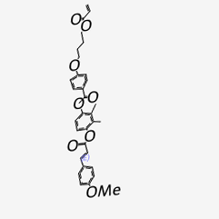 C=CC(=O)OCCCCOc1ccc(C(=O)Oc2ccc(OC(=O)/C=C/c3ccc(OC)cc3)c(C)c2C)cc1